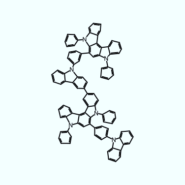 c1ccc(-n2c3ccccc3c3c4c5ccccc5n(-c5ccccc5)c4c(-c4cccc(-n5c6ccccc6c6cc(-c7ccc8c(c7)c7c9c%10ccccc%10n(-c%10ccccc%10)c9cc(-c9ccc(-n%10c%11ccccc%11c%11ccccc%11%10)cc9)c7n8-c7ccccc7)ccc65)c4)cc32)cc1